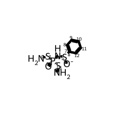 NSP(=O)(N[S+]([O-])c1ccccc1)SN